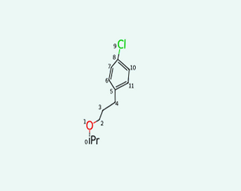 CC(C)OCCCc1ccc(Cl)cc1